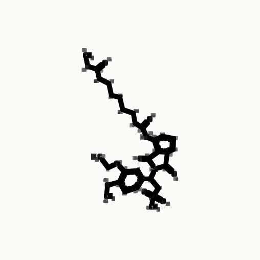 CCOc1cc(C(CS(C)(=O)=O)N2C(=O)c3cccc(NC(=O)CCCCCCCC(=O)OC)c3C2=O)ccc1OC